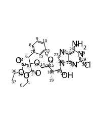 CCOC(=O)C(Cc1ccccc1)(OC[C@@H](OC)[C@@H](C)[C@@H](O)n1cnc2c(N)nc(Cl)nc21)C(=O)OCC